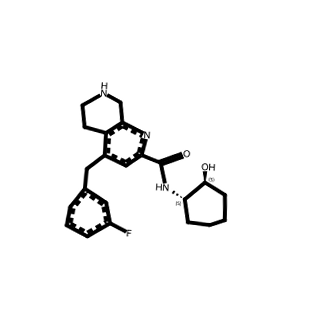 O=C(N[C@H]1CCCC[C@@H]1O)c1cc(Cc2cccc(F)c2)c2c(n1)CNCC2